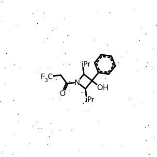 CC(C)C1N(C(=O)CC(F)(F)F)C(C(C)C)C1(O)c1ccccc1